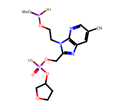 COP(S)OCCn1c(COP(=O)(S)OC2CCOC2)nc2cc(C#N)cnc21